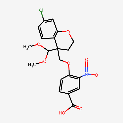 COC(OC)C1(COc2ccc(C(=O)O)cc2[N+](=O)[O-])CCOc2cc(Cl)ccc21